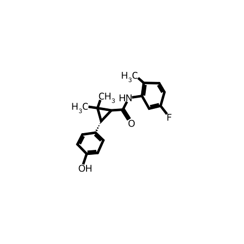 Cc1ccc(F)cc1NC(=O)C1[C@H](c2ccc(O)cc2)C1(C)C